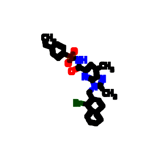 C=Cc1ccc(S(=O)(=O)NC(=O)c2cc(C)c3nc(C)n(Cc4ccc5ccccc5c4Br)c3n2)cc1